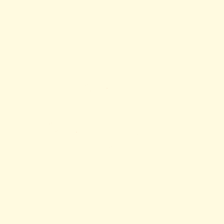 C=CC(=O)Oc1ccc(C(=O)O)cc1.O=Cc1ccccc1